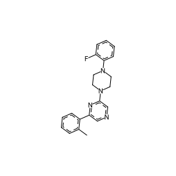 Cc1ccccc1-c1cncc(N2CCN(c3ccccc3F)CC2)n1